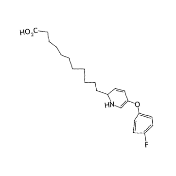 O=C(O)CCCCCCCCCCC1C=CC(Oc2ccc(F)cc2)=CN1